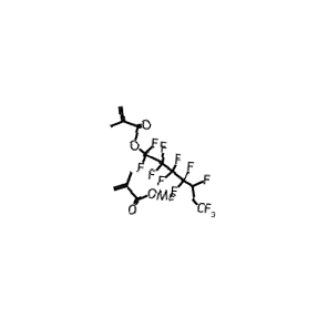 C=C(C)C(=O)OC.C=C(C)C(=O)OC(F)(F)C(F)(F)C(F)(F)C(F)(F)C(F)CC(F)(F)F